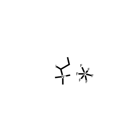 CCC(I)[N+](C)(C)C.F[P-](F)(F)(F)(F)F